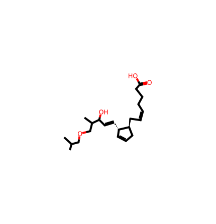 CC(C)COCC(C)C(O)C=C[C@H]1C=CC[C@@H]1C/C=C\CCCC(=O)O